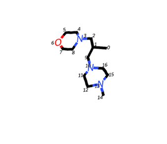 CC(CN1CCOCC1)CN1CCN(C)CC1